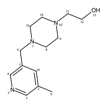 Cc1cncc(CN2CCN(CCO)CC2)c1